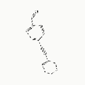 O=Cc1ccc(C#CC2=CCCCC2)cc1